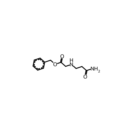 NC(=O)CCNCC(=O)OCc1ccccc1